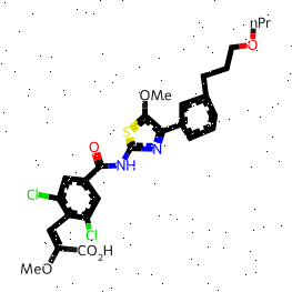 CCCOCCCc1cccc(-c2nc(NC(=O)c3cc(Cl)c(/C=C(/OC)C(=O)O)c(Cl)c3)sc2OC)c1